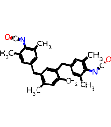 Cc1cc(C)c(Cc2cc(C)c(N=C=O)c(C)c2)cc1Cc1cc(C)c(N=C=O)c(C)c1